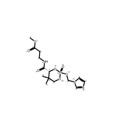 COC(=O)CCNC(=O)[C@@H]1OP(=O)(OCn2ccnc2)OCC1(C)C